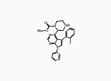 CC(C)(C)OC(=O)N1CCNCC1c1ncnc2c1c(-c1ccccc1F)cn2-c1cccnc1